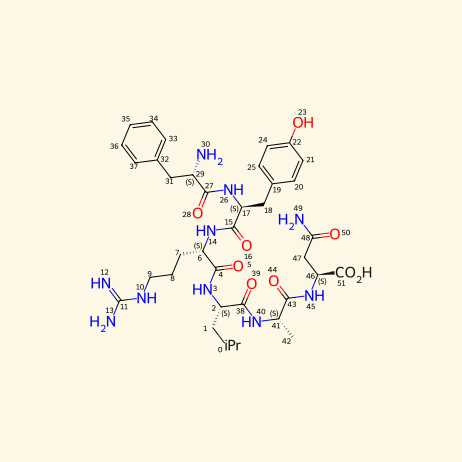 CC(C)C[C@H](NC(=O)[C@H](CCCNC(=N)N)NC(=O)[C@H](Cc1ccc(O)cc1)NC(=O)[C@@H](N)Cc1ccccc1)C(=O)N[C@@H](C)C(=O)N[C@@H](CC(N)=O)C(=O)O